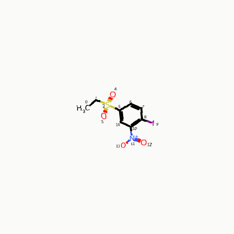 CCS(=O)(=O)c1ccc(I)c([N+](=O)[O-])c1